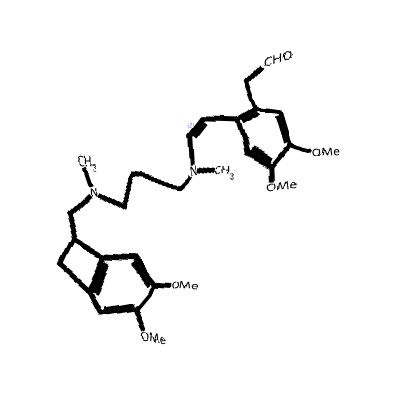 COc1cc(/C=C\N(C)CCCN(C)CC2Cc3cc(OC)c(OC)cc32)c(CC=O)cc1OC